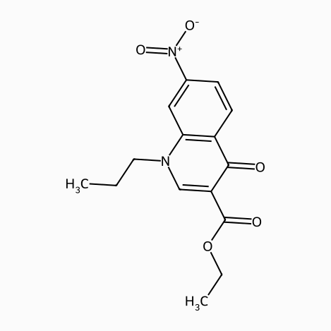 CCCn1cc(C(=O)OCC)c(=O)c2ccc([N+](=O)[O-])cc21